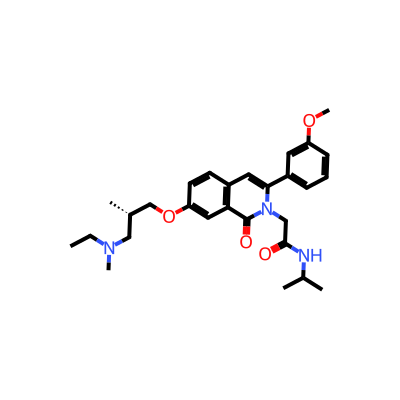 CCN(C)C[C@H](C)COc1ccc2cc(-c3cccc(OC)c3)n(CC(=O)NC(C)C)c(=O)c2c1